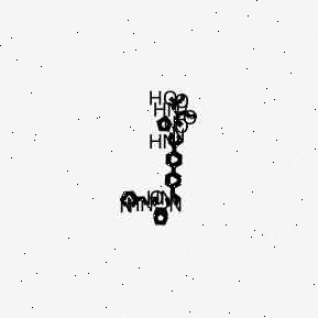 COC(O)N[C@H](C(=O)N1CCC[C@H]1c1ncc(-c2ccc(-c3ccc(-c4cnc([C@H]5C6CCC(C6)[C@@H]5C(=O)NCc5cccnc5)[nH]4)cc3)cc2)[nH]1)[C@@H](C)OC